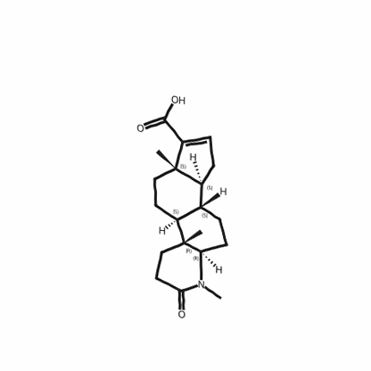 CN1C(=O)CC[C@]2(C)[C@H]3CC[C@]4(C)C(C(=O)O)=CC[C@H]4[C@@H]3CC[C@@H]12